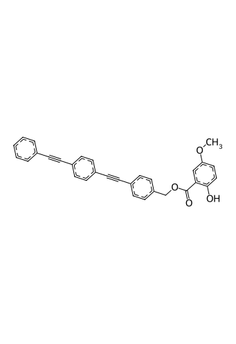 COc1ccc(O)c(C(=O)OCc2ccc(C#Cc3ccc(C#Cc4ccccc4)cc3)cc2)c1